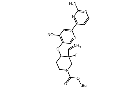 C=CC1(F)CN(C(=O)OC(C)(C)C)CCC1Oc1cnc(-c2ccnc(N)n2)cc1C#N